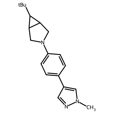 Cn1cc(-c2ccc(N3CC4C(C3)C4C(C)(C)C)cc2)cn1